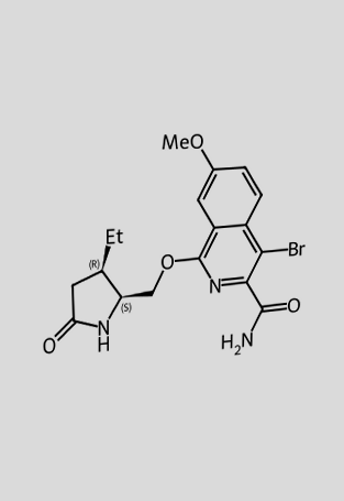 CC[C@@H]1CC(=O)N[C@@H]1COc1nc(C(N)=O)c(Br)c2ccc(OC)cc12